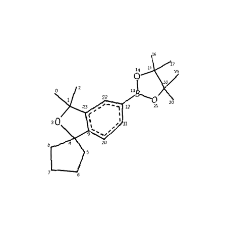 CC1(C)OC2(CCCC2)c2ccc(B3OC(C)(C)C(C)(C)O3)cc21